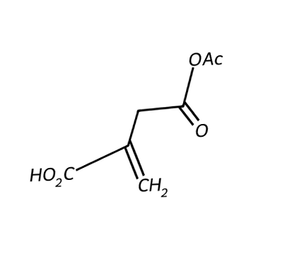 C=C(CC(=O)OC(C)=O)C(=O)O